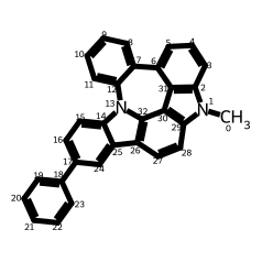 Cn1c2cccc3c4ccccc4n4c5ccc(-c6ccccc6)cc5c5ccc1c(c32)c54